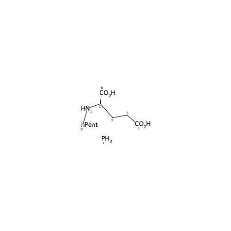 CCCCCNC(CCC(=O)O)C(=O)O.P